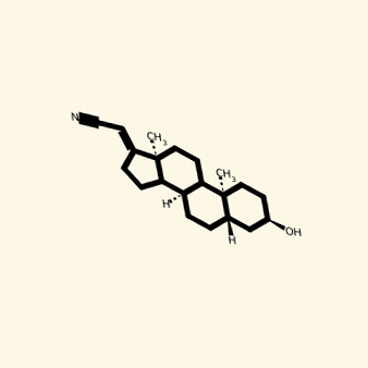 C[C@]12CCC3[C@@H](CC[C@H]4C[C@H](O)CC[C@]34C)C1CC/C2=C\C#N